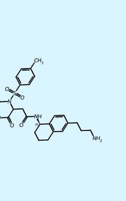 Cc1ccc(S(=O)(=O)N2CCNC(=O)C2CC(=O)N[C@@H]2CCCc3cc(CCCN)ccc32)cc1